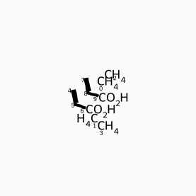 C.C.C.C.C=CC(=O)O.C=CC(=O)O